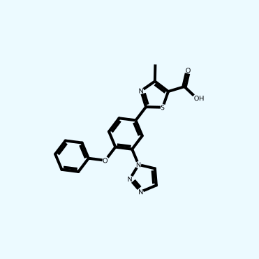 Cc1nc(-c2ccc(Oc3ccccc3)c(-n3ccnn3)c2)sc1C(=O)O